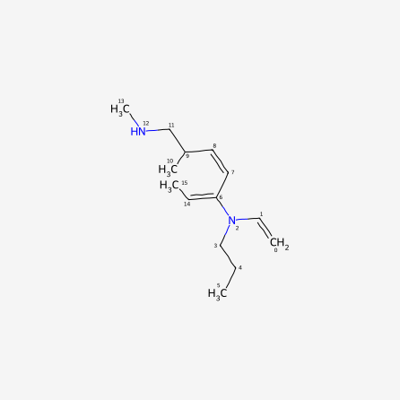 C=CN(CCC)C(/C=C\C(C)CNC)=C/C